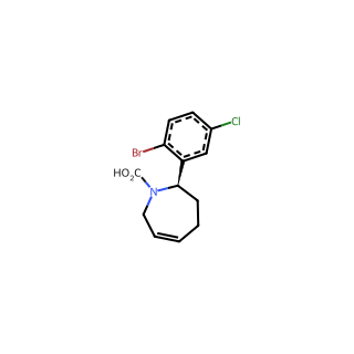 O=C(O)N1CC=CCC[C@@H]1c1cc(Cl)ccc1Br